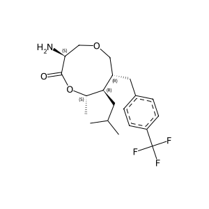 CC(C)C[C@@H]1[C@@H](Cc2ccc(C(F)(F)F)cc2)COC[C@H](N)C(=O)O[C@H]1C